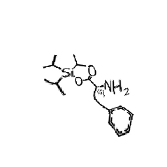 CC(C)[Si](OC(=O)[C@@H](N)Cc1ccccc1)(C(C)C)C(C)C